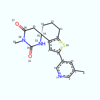 Cc1cncc(-c2cc3c(s2)CCC[C@]32CC(=O)N(C)C(=O)N2)c1